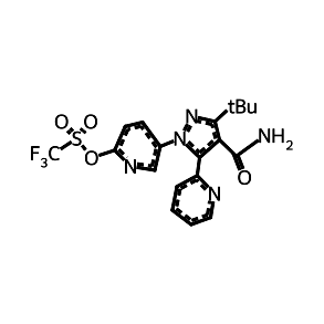 CC(C)(C)c1nn(-c2ccc(OS(=O)(=O)C(F)(F)F)nc2)c(-c2ccccn2)c1C(N)=O